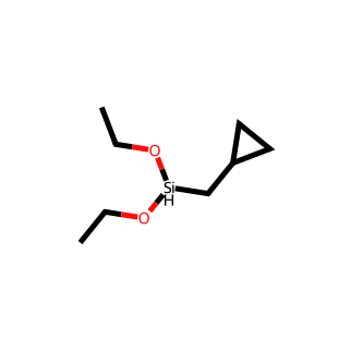 CCO[SiH](CC1CC1)OCC